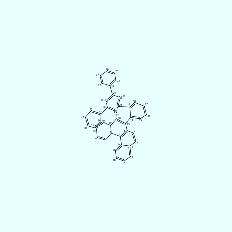 C1=CC2c3c(ccc4ccccc34)C(c3ccccc3-c3nc(-c4ccccc4)nc(-c4ccccc4)n3)=CC2C=N1